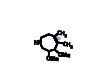 COC1CNCC/C(C)=C(/C)C1OC